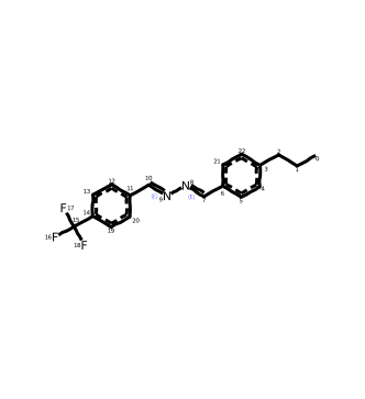 CCCc1ccc(/C=N/N=C/c2ccc(C(F)(F)F)cc2)cc1